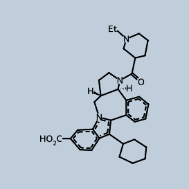 CCN1CCCC(C(=O)N2CC[C@H]3Cn4c(c(C5CCCCC5)c5ccc(C(=O)O)cc54)-c4ccccc4[C@@H]32)C1